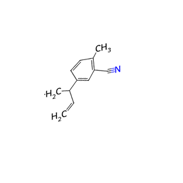 [CH2]C(C=C)c1ccc(C)c(C#N)c1